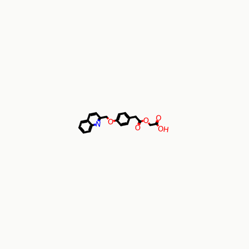 O=C(O)COC(=O)Cc1ccc(OCc2ccc3ccccc3n2)cc1